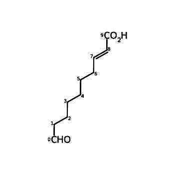 O=CCCCCCCC=CC(=O)O